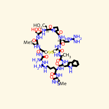 CSC[C@H](NC(=O)C(CCCNC(=N)N)NC(=O)[C@H](Cc1cc2ccccc2[nH]1)NC(=O)[C@H](C)NC(=O)[C@@H]1CSSC[C@H](NC(=O)CN)C(=O)N[C@@H](CSC)C(=O)N[C@@H](CO)C(=O)N[C@@H](CC(=O)O)C(=O)N2CCCC2C(=O)N[C@@H](CCCNC(=N)N)C(=O)N1)C(N)=O